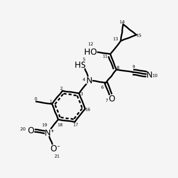 Cc1cc(N(S)C(=O)C(C#N)=C(O)C2CC2)ccc1[N+](=O)[O-]